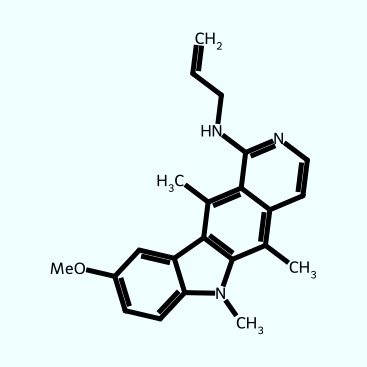 C=CCNc1nccc2c(C)c3c(c(C)c12)c1cc(OC)ccc1n3C